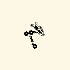 OC[C@H]1O[C@@H](n2c(NCc3ccc(-c4ccccc4)c(OCCCCOCc4ccccc4)c3)nc3c(O)ncnc32)[C@H](O)[C@@H]1O